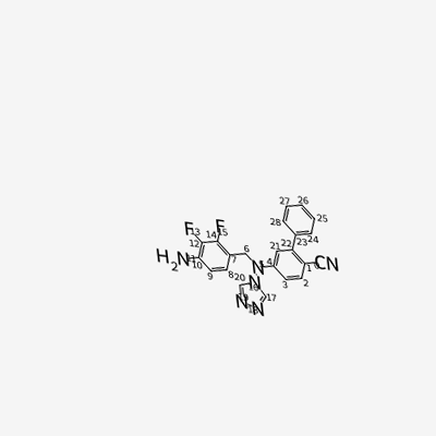 N#Cc1ccc(N(Cc2ccc(N)c(F)c2F)n2cnnc2)cc1-c1ccccc1